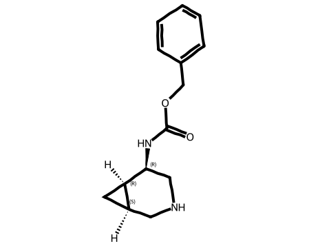 O=C(N[C@H]1CNC[C@H]2C[C@H]21)OCc1ccccc1